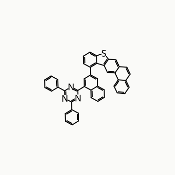 c1ccc(-c2nc(-c3ccccc3)nc(-c3cc(-c4cccc5sc6cc7ccc8ccccc8c7cc6c45)cc4ccccc34)n2)cc1